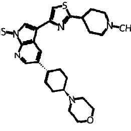 CN1CCC(c2nc(-c3cn(S)c4ncc([C@H]5CC[C@H](N6CCOCC6)CC5)cc34)cs2)CC1